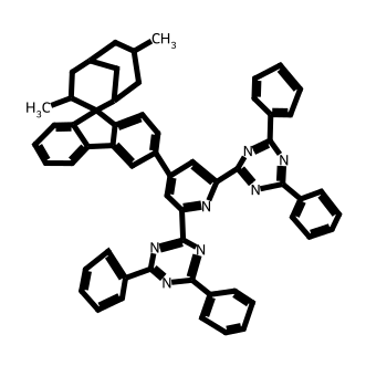 CC1CC2CC(C)C3(c4ccccc4-c4cc(-c5cc(-c6nc(-c7ccccc7)nc(-c7ccccc7)n6)nc(-c6nc(-c7ccccc7)nc(-c7ccccc7)n6)c5)ccc43)C(C1)C2